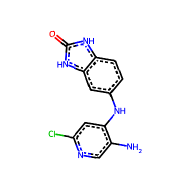 Nc1cnc(Cl)cc1Nc1ccc2[nH]c(=O)[nH]c2c1